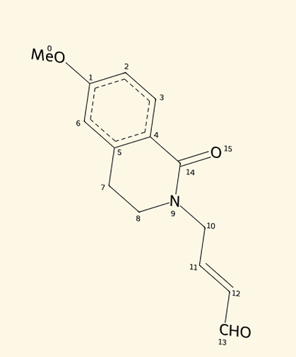 COc1ccc2c(c1)CCN(CC=CC=O)C2=O